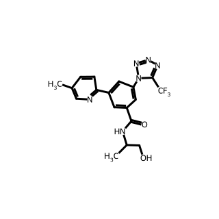 Cc1ccc(-c2cc(C(=O)NC(C)CO)cc(-n3nnnc3C(F)(F)F)c2)nc1